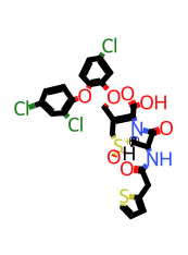 O=C(Cc1cccs1)NC1C(=O)N2C(C(=O)O)=C(COc3cc(Cl)ccc3Oc3ccc(Cl)cc3Cl)C[S+]([O-])[C@H]12